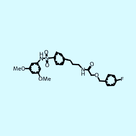 COc1cc(NS(=O)(=O)c2ccc(CCCNC(=O)COCc3ccc(F)cc3)cc2)cc(OC)c1